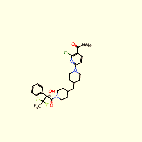 CNC(=O)c1ccc(N2CCC(CC3CCN(C(=O)[C@](O)(c4ccccc4)C(F)(F)C(F)(F)F)CC3)CC2)nc1Cl